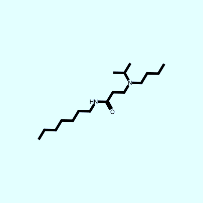 CCCCCCCNC(=O)CCN(CCCC)C(C)C